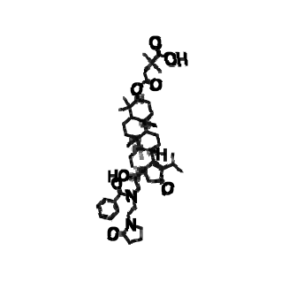 CC(C)C1=C2[C@H]3CCC4[C@@]5(C)CC[C@H](OC(=O)CC(C)(C)C(=O)O)C(C)(C)C5CC[C@@]4(C)[C@]3(C)CC[C@@]2([C@H](O)CN(CCN2CCCC2=O)C(=O)c2ccccc2)CC1=O